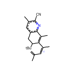 C=C(C)/C=C(/C)C1=C(C)c2nc(C#N)c(C)cc2CC1C(C)(C)C